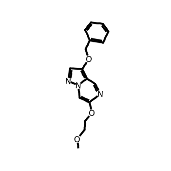 COCCOc1cn2ncc(OCc3ccccc3)c2cn1